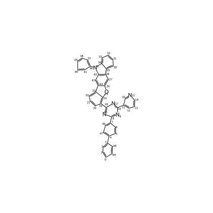 c1ccc(-c2ccc(-c3nc(-c4cccnc4)nc(-c4cccc5c4oc4cc6c7ccccc7n(-c7ccccc7)c6cc45)n3)cc2)cc1